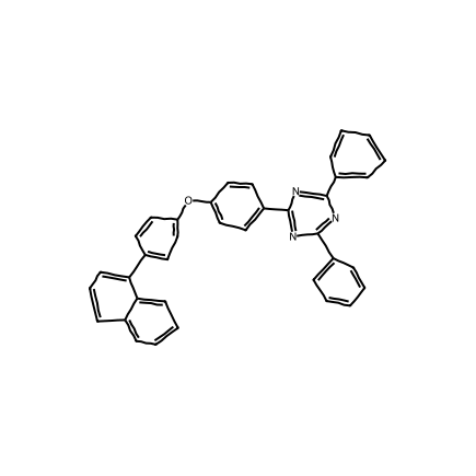 c1ccc(-c2nc(-c3ccccc3)nc(-c3ccc(Oc4ccc(-c5cccc6ccccc56)cc4)cc3)n2)cc1